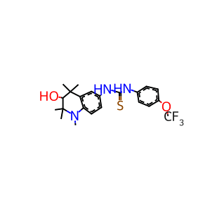 CN1c2ccc(NC(=S)Nc3ccc(OC(F)(F)F)cc3)cc2C(C)(C)C(O)C1(C)C